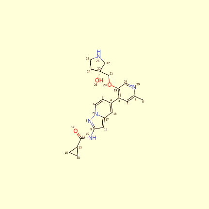 Cc1cc(-c2ccn3nc(NC(=O)C4CC4)cc3c2)c(OC[C@@]2(O)CCNC2)cn1